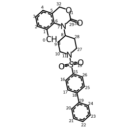 Cc1cccc2c1N(C1CCN(S(=O)(=O)c3ccc(-c4ccccc4)cc3)CC1)C(=O)OC2